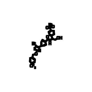 CCc1sc(OCc2ccc(C(F)(F)F)cc2)nc1-c1ccc(C(=O)NC(CO)c2ccc(S(=O)(=O)CC)cc2)cc1